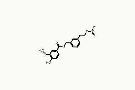 COc1cc(C(=O)OCc2cccc(CCO[N+](=O)[O-])c2)ccc1O